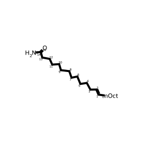 CCCCCCCCC=CCCCCCCCCCCCC(N)=O